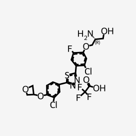 N[C@H](CO)COc1cc(Cl)c(-c2nnc(-c3ccc(OC4COC4)c(Cl)c3)s2)cc1F.O=C(O)C(F)(F)F